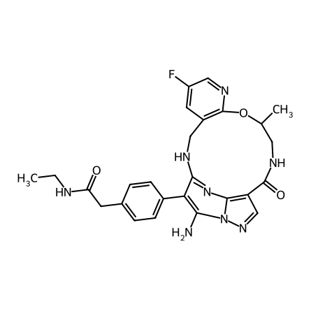 CCNC(=O)Cc1ccc(-c2c3nc4c(cnn4c2N)C(=O)NCC(C)Oc2ncc(F)cc2CN3)cc1